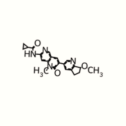 COC1CCc2cc(-c3cc4cnc(NC(=O)C5CC5)cc4n(C)c3=O)cnc21